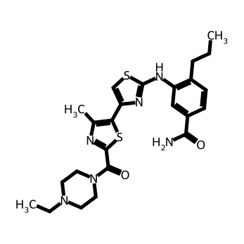 CCCc1ccc(C(N)=O)cc1Nc1nc(-c2sc(C(=O)N3CCN(CC)CC3)nc2C)cs1